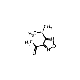 CC(=O)c1nonc1N(C)C